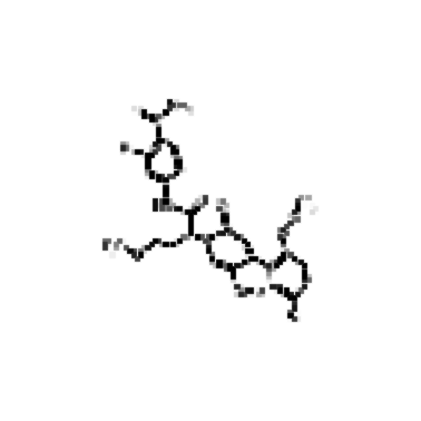 COc1cn(C(CCOC(F)(F)F)C(=O)Nc2ccc(C(N)=O)c(F)c2)c(=O)cc1-c1cc(Cl)ccc1OCC(F)(F)F